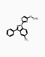 O=COc1csc(-n2nc(-c3ccccc3)c3cc(C(F)(F)F)ccc32)n1